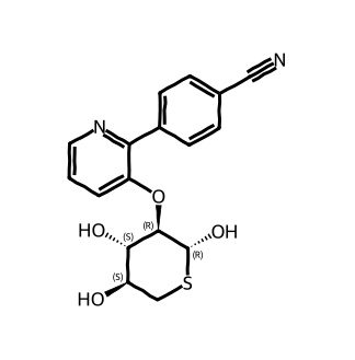 N#Cc1ccc(-c2ncccc2O[C@@H]2[C@@H](O)[C@H](O)CS[C@H]2O)cc1